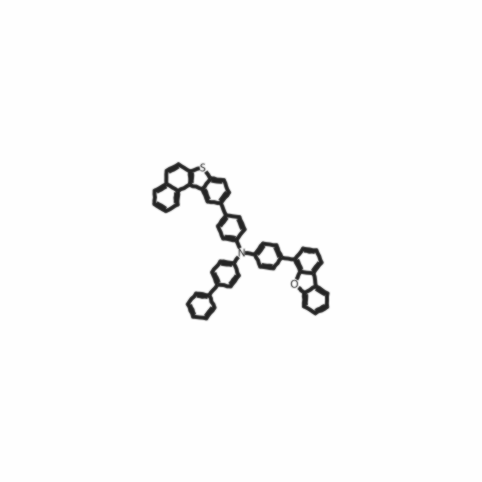 c1ccc(-c2ccc(N(c3ccc(-c4ccc5sc6ccc7ccccc7c6c5c4)cc3)c3ccc(-c4cccc5c4oc4ccccc45)cc3)cc2)cc1